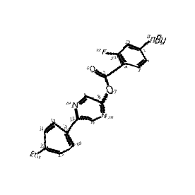 CCCCc1ccc(C(=O)Oc2cnc(-c3ccc(CC)cc3)cn2)c(F)c1